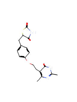 Cc1nc(C)c(CCOc2ccc(CC3SC(=O)NC3=O)cc2)c(=O)[nH]1